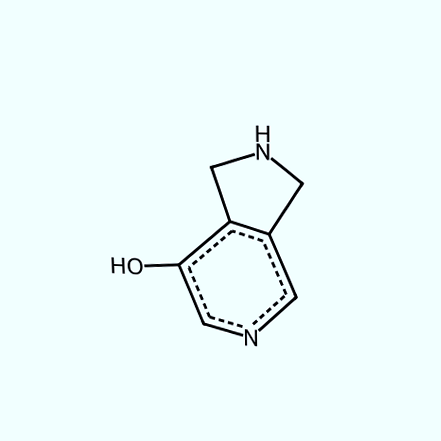 Oc1cncc2c1CNC2